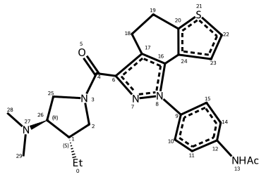 CC[C@H]1CN(C(=O)c2nn(-c3ccc(NC(C)=O)cc3)c3c2CCc2sccc2-3)C[C@@H]1N(C)C